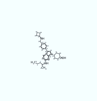 CCCC(C)Nc1ncc2c(-c3ccc(CNC4CCC4)cc3)cn([C@H]3CC[C@H](O)CC3)c2n1